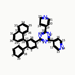 c1ccc(-c2ccc(-c3nc(-c4ccncc4)nc(-c4ccncc4)n3)cc2-c2cccc3ccccc23)cc1